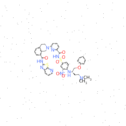 CN(C)CC[C@H](COc1ccccc1)Nc1ccc(S(=O)(=O)NC(=O)c2cccc(N3CCc4cccc(C(=O)Nc5nc6cccnc6s5)c4C3)n2)cc1[N+](=O)[O-]